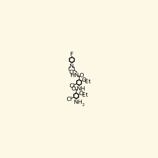 CCOc1cc(NC(=O)c2cc(Cl)c(N)cc2OCC)c(Cl)cc1C(=O)NCC1CN(c2ccc(F)cc2)CCO1